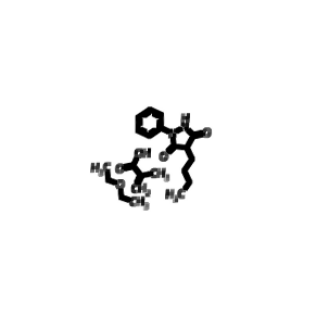 C=C(C)C(=O)O.CCCCC1C(=O)NN(c2ccccc2)C1=O.CCOCC